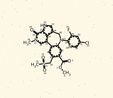 COC(=O)c1cc2c(cc1CS(C)(=O)=O)-c1cn(C)c(=O)c3[nH]cc(c13)CN2c1ncc(Cl)cc1F